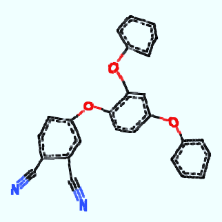 N#Cc1ccc(Oc2ccc(Oc3ccccc3)cc2Oc2ccccc2)cc1C#N